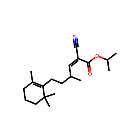 CC1=C(CCC(C)C=C(C#N)C(=O)OC(C)C)C(C)(C)CCC1